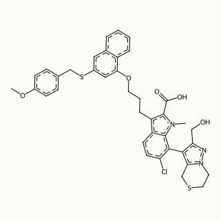 COc1ccc(CSc2cc(OCCCc3c(C(=O)O)n(C)c4c(-c5c(CO)nn6c5CSCC6)c(Cl)ccc34)c3ccccc3c2)cc1